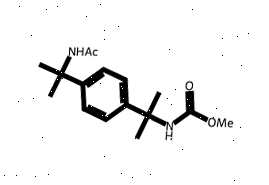 COC(=O)NC(C)(C)c1ccc(C(C)(C)NC(C)=O)cc1